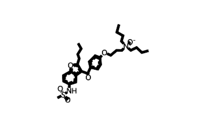 CCCCc1oc2ccc(NS(C)(=O)=O)cc2c1C(=O)c1ccc(OCCC[N+]([O-])(CCCC)CCCC)cc1